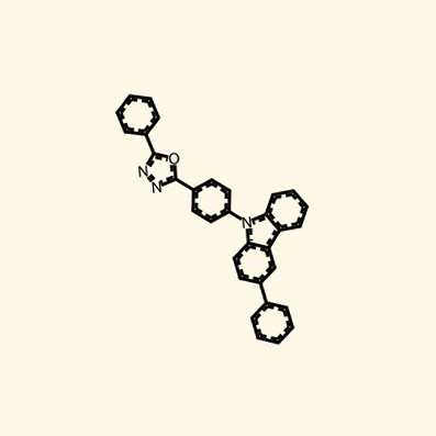 c1ccc(-c2ccc3c(c2)c2ccccc2n3-c2ccc(-c3nnc(-c4ccccc4)o3)cc2)cc1